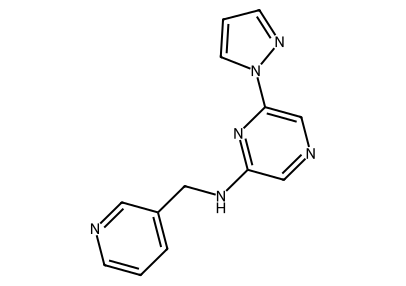 c1cncc(CNc2cncc(-n3cccn3)n2)c1